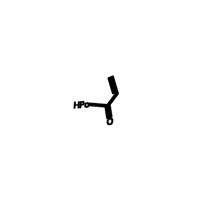 C=C[C](=O)[PoH]